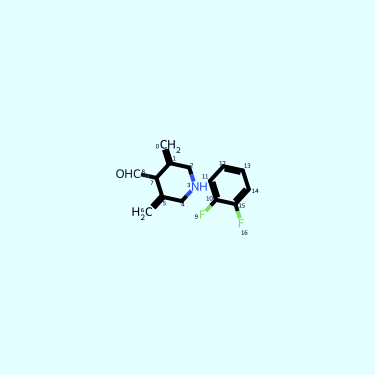 C=C1CNCC(=C)C1C=O.Fc1ccccc1F